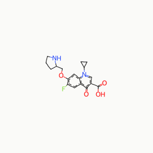 O=C(O)c1cn(C2CC2)c2cc(OCC3CCCN3)c(F)cc2c1=O